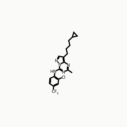 Cc1nc(Nc2ccc(C(F)(F)F)cc2Cl)n2ncc(CCCCC3CC3)c2n1